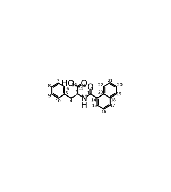 O=C(N[C@@H](Cc1ccccc1)C(=O)O)c1cccc2ccccc12